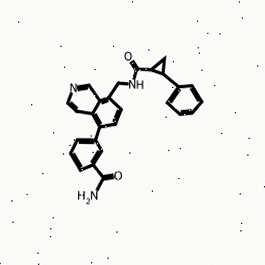 NC(=O)c1cccc(-c2ccc(CNC(=O)C3CC3c3ccccc3)c3cnccc23)c1